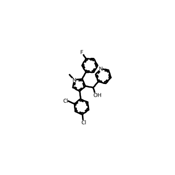 Cn1cc(-c2ccc(Cl)cc2Cl)c(C(O)c2cccnc2)c1-c1cccc(F)c1